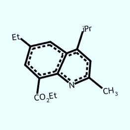 CCOC(=O)c1cc(CC)cc2c(C(C)C)cc(C)nc12